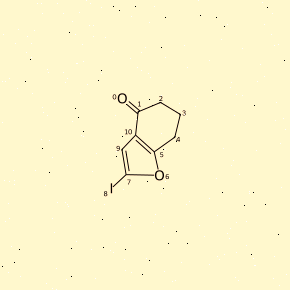 O=C1CCCc2oc(I)cc21